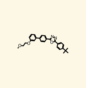 COCCOc1cccc(-c2ccc(-c3nnc(-c4ccc(C(C)(C)C)cc4)o3)cc2)c1